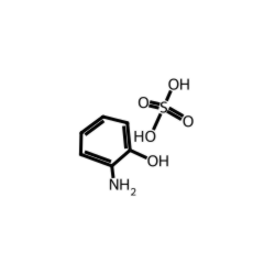 Nc1ccccc1O.O=S(=O)(O)O